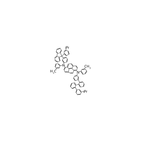 Cc1cccc(N(c2cccc(-c3ccccc3-c3ccccc3-c3cccc(C(C)C)c3)c2)c2ccc3ccc4c(N(c5cccc(C)c5)c5cccc(C6(c7cccc(C(C)C)c7)c7ccccc7-c7ccccc76)c5)ccc5ccc2c3c54)c1